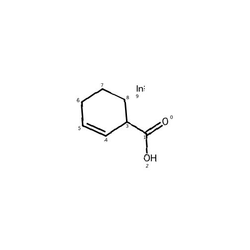 O=C(O)C1C=CCCC1.[In]